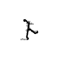 CCCCC/C=C\C/C=C\CCCCCCCC(=O)OCC(COC(=O)CCC(CCCC)OC(=O)NCCN1CCCC1)OC(=O)CCCCCCC/C=C\C/C=C\CCCCC